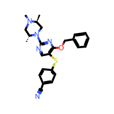 C[C@@H]1CN(C)[C@@H](C)CN1c1ncc(Sc2ccc(C#N)cc2)c(OCc2ccccc2)n1